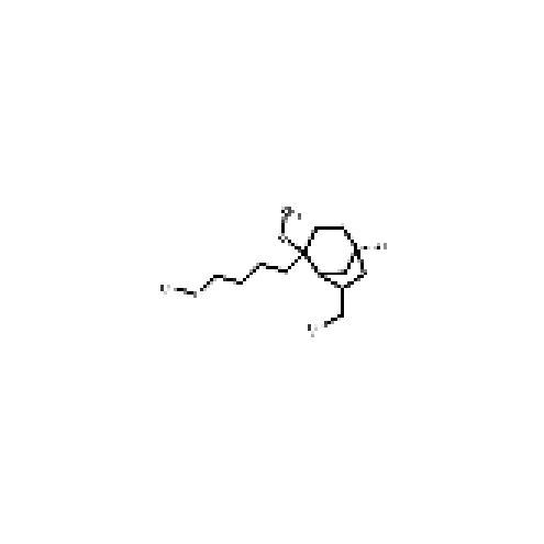 CCC1C[C@@H]2CCC(CCCCOC)(OC)C1C2